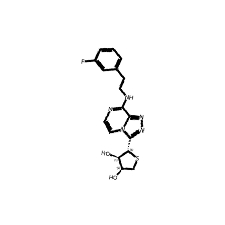 O[C@@H]1[C@H](O)CS[C@H]1c1nnc2c(NCCc3cccc(F)c3)nccn12